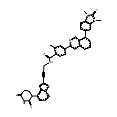 Cc1cc(-c2cc3cccc(-c4ccc5c(c4)n(C)c(=O)n5C)c3cn2)cnc1C(=O)NCC#Cc1cc2c(N3CCC(=O)NC3=O)cccc2o1